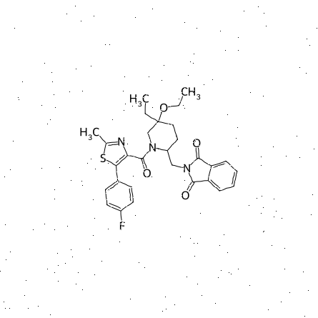 CCOC1(CC)CCC(CN2C(=O)c3ccccc3C2=O)N(C(=O)c2nc(C)sc2-c2ccc(F)cc2)C1